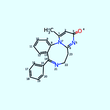 Cc1cc(=O)nc2n1-c1ccccc1/C(c1ccccc1)=N\CC2